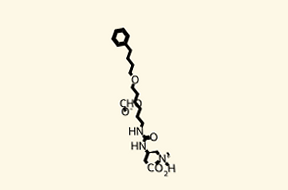 C[N+](C)(C)C[C@@H](CC(=O)O)NC(=O)NCCCCCCOCCCCc1ccccc1.O=C[O-]